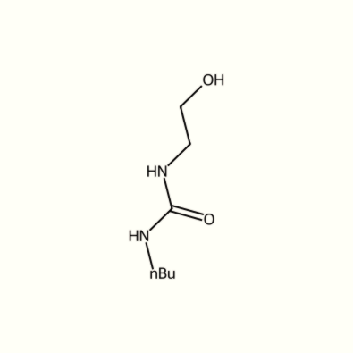 CCCCNC(=O)NCCO